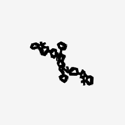 CC1(C)c2ccccc2-c2ccc(-c3ccc(-n4c(-c5ccccc5)cc5cc6c(cc(-c7ccccc7)n6-c6ccc(-c7ccc8c(c7)C(C)(C)c7ccccc7-8)cc6)cc54)cc3)cc21